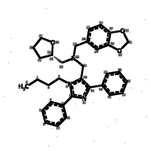 CCCCn1c(-c2ccccc2)nc(-c2ccccc2)c1CN(Cc1ccc2c(c1)OCO2)C[C@@H]1CCCO1